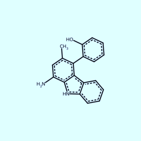 Cc1cc(N)c2[nH]c3ccccc3c2c1-c1ccccc1O